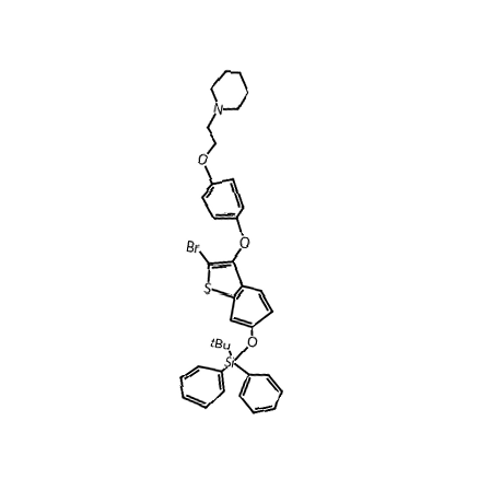 CC(C)(C)[Si](Oc1ccc2c(Oc3ccc(OCCN4CCCCC4)cc3)c(Br)sc2c1)(c1ccccc1)c1ccccc1